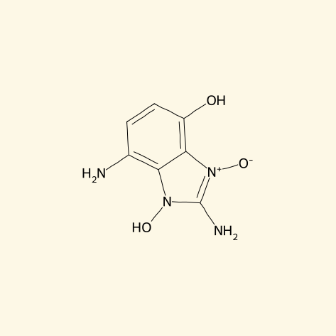 Nc1ccc(O)c2c1n(O)c(N)[n+]2[O-]